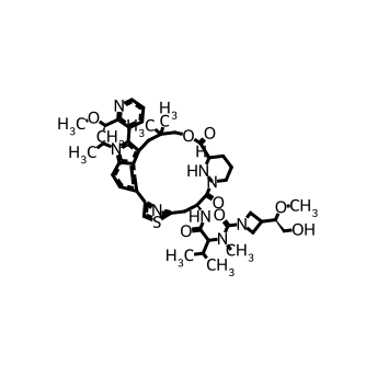 CCn1c(-c2cccnc2[C@H](C)OC)c2c3cc(ccc31)-c1csc(n1)C[C@H](NC(=O)C(C(C)C)N(C)C(=O)N1CC([C@H](CO)OC)C1)C(=O)N1CCC[C@H](N1)C(=O)OCC(C)(C)C2